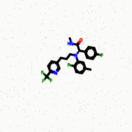 CNC(=O)[C@@H](c1ccc(F)cc1)N(CCCc1ccc(C(F)(F)F)nc1)c1cc(C)ccc1F